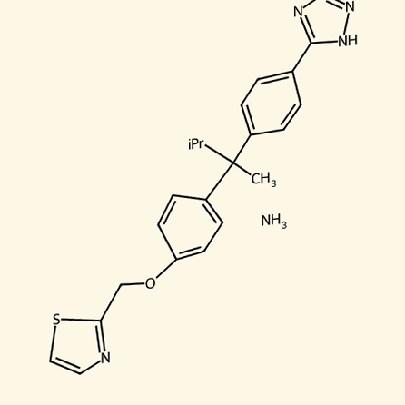 CC(C)C(C)(c1ccc(OCc2nccs2)cc1)c1ccc(-c2nnn[nH]2)cc1.N